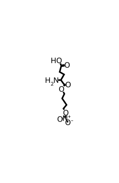 NC(CCC(=O)O)C(=O)OCCCCO[N+](=O)[O-]